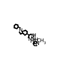 C[C@@H]1[C@@H](Nc2ncc(-c3ccc4c(ccn4Cc4ccccc4)c3)cn2)C2CCN1CC2